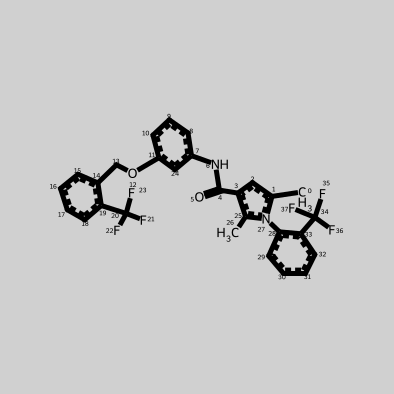 Cc1cc(C(=O)Nc2cccc(OCc3ccccc3C(F)(F)F)c2)c(C)n1-c1ccccc1C(F)(F)F